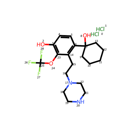 Cl.Cl.Oc1ccc(C2(O)CCCCC2)c(CCN2CCNCC2)c1OC(F)(F)F